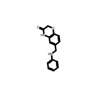 O=C1COc2ccc(CNc3ccccc3)cc2N1